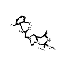 CC1(C)NC(=O)C2CN(CC(=O)Nc3c(Cl)cccc3Cl)CCN21